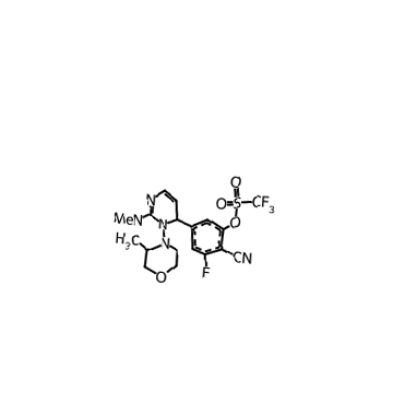 CNC1=NC=CC(c2cc(F)c(C#N)c(OS(=O)(=O)C(F)(F)F)c2)N1N1CCOCC1C